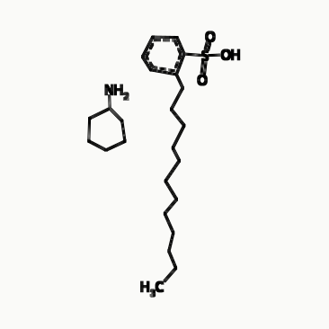 CCCCCCCCCCCCc1ccccc1S(=O)(=O)O.NC1CCCCC1